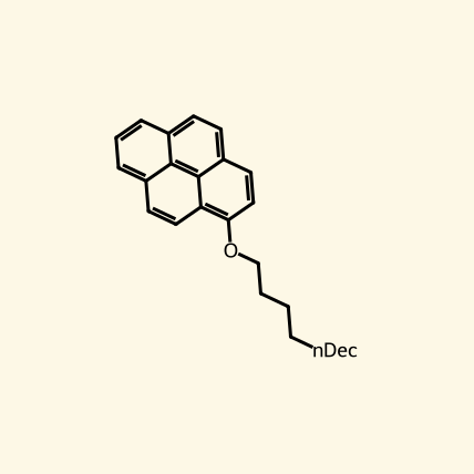 CCCCCCCCCCCCCCOc1ccc2ccc3cccc4ccc1c2c34